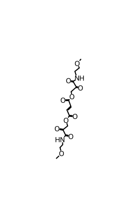 COCCNC(=O)C(=O)COC(=O)/C=C/C(=O)OCC(=O)C(=O)NCCOC